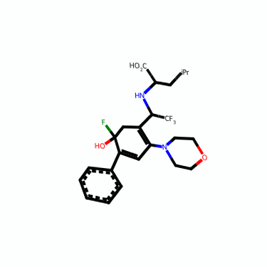 CC(C)CC(NC(C1=C(N2CCOCC2)C=C(c2ccccc2)C(O)(F)C1)C(F)(F)F)C(=O)O